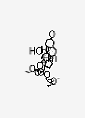 CCOC(=O)OC1(C(=O)OC[S+](C)[O-])CC[C@H]2[C@@H]3CCC4=CC(=O)CC[C@]4(C)[C@@H]3C(O)C[C@@]21C